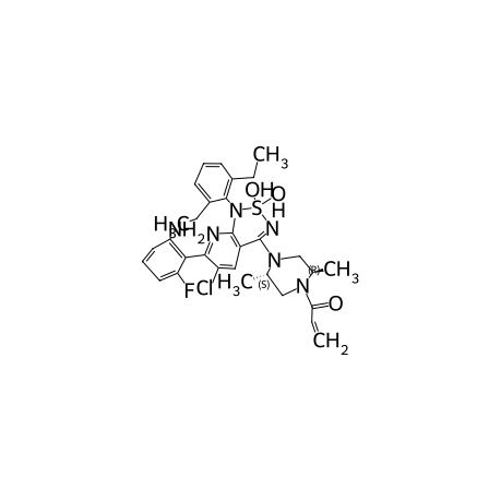 C=CC(=O)N1C[C@H](C)N(C2=NS(O)(O)N(c3c(CC)cccc3CC)c3nc(-c4c(N)cccc4F)c(Cl)cc32)C[C@H]1C